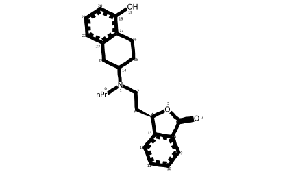 CCCN(CC[C@H]1OC(=O)c2ccccc21)C1CCc2c(O)cccc2C1